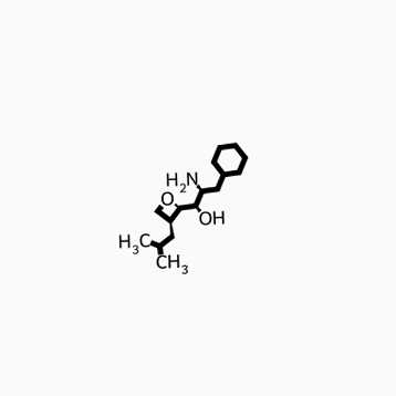 CC(C)C[C@H]1CO[C@@H]1[C@H](O)[C@@H](N)CC1CCCCC1